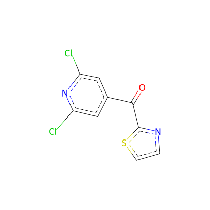 O=C(c1cc(Cl)nc(Cl)c1)c1nccs1